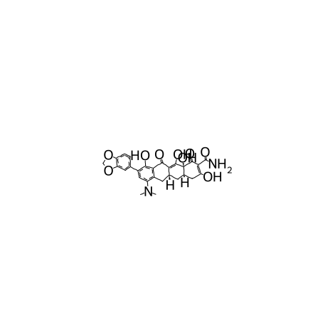 CN(C)c1cc(-c2ccc3c(c2)OCO3)c(O)c2c1C[C@H]1C[C@H]3CC(O)=C(C(N)=O)C(=O)[C@@]3(O)C(O)=C1C2=O